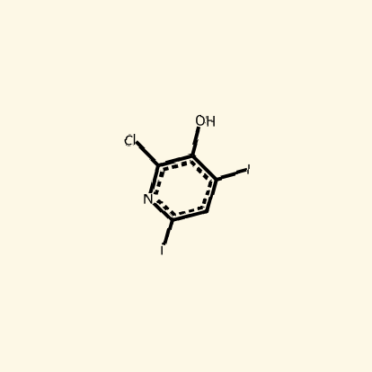 Oc1c(I)cc(I)nc1Cl